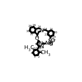 Cc1cccc(C)c1-c1cc2nc(n1)NS(=O)(=O)c1cccc(c1)CN1Cc3ccccc3C(C1)O2